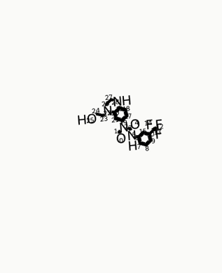 O=CN(C(=O)Nc1cccc(C(F)(F)F)c1)c1ccc2c(c1)N(CCO)CCN2